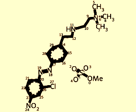 COS(=O)(=O)[O-].C[N+](C)(C)CCNCCc1ccc(N=Nc2ccc([N+](=O)[O-])cc2Cl)cc1